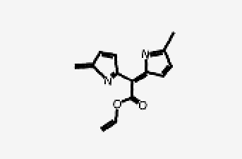 C=COC(=O)/C(C1=NC(=C)C=C1)=C1\C=CC(C)=N1